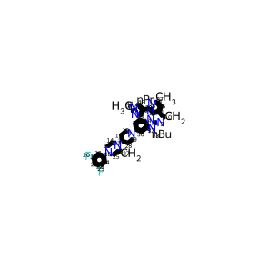 C=C(/N=c1\[nH]c2ccc(N3CCC(N4CCN(c5cc(F)cc(F)c5)CC4=C)CC3)cc2n1CCCC)c1cc(C)nc(-c2cnn(C)c2CCC)c1